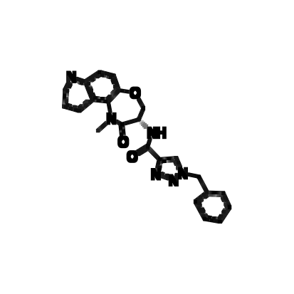 CN1C(=O)[C@@H](NC(=O)c2cn(Cc3ccccc3)nn2)COc2ccc3ncccc3c21